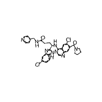 O=C(CCC(Nc1ncnc2cc(C(=O)N3CCCC3)c(Cl)cc12)c1nc2cc(Cl)ccc2[nH]1)NCc1ccncc1